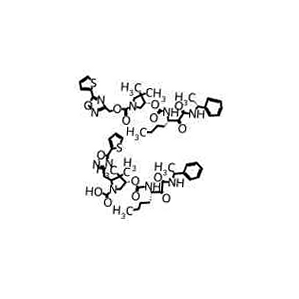 CCCC[C@H](NC(=O)O[C@@H]1CN(C(=O)O)C(Cc2noc(-c3cccs3)n2)C1(C)C)C(=O)C(=O)N[C@H](C)c1ccccc1.CCCC[C@H](NC(=O)O[C@@H]1CN(C(=O)OCc2noc(-c3cccs3)n2)CC1(C)C)C(=O)C(=O)N[C@H](C)c1ccccc1